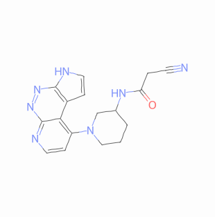 N#CCC(=O)NC1CCCN(c2ccnc3nnc4[nH]ccc4c23)C1